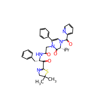 CC(C)[C@@H]1C(=O)N(CC(=O)N[C@@H](Cc2ccccc2)C(=O)C2=NCC(C)(C)S2)C(c2ccccc2)=CN1C(=O)c1ccccn1